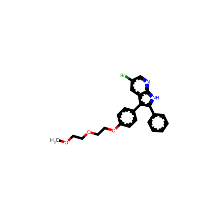 COCCOCCOc1ccc(-c2c(-c3ccccc3)[nH]c3ncc(Br)cc23)cc1